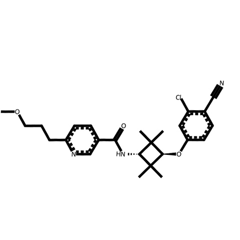 COCCCc1ccc(C(=O)N[C@H]2C(C)(C)[C@H](Oc3ccc(C#N)c(Cl)c3)C2(C)C)cn1